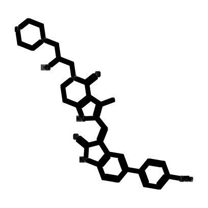 COc1ccc(-c2ccc3c(c2)/C(=C/c2[nH]c4c(c2C)C(=O)N(CC(O)CN2CCOCC2)CC4)C(=O)N3)cc1